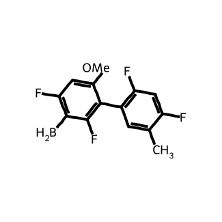 Bc1c(F)cc(OC)c(-c2cc(C)c(F)cc2F)c1F